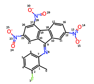 Cc1c(F)cccc1N=C1c2cc([N+](=O)[O-])ccc2-c2c1cc([N+](=O)[O-])cc2[N+](=O)[O-]